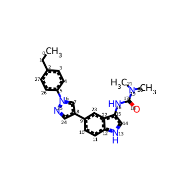 CCc1ccc(-n2cc(-c3ccc4[nH]cc(NC(=O)N(C)C)c4c3)cn2)cc1